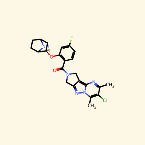 Cc1nc2c3c(nn2c(C)c1Cl)CN(C(=O)c1ccc(F)cc1O[C@@H]1CC2CCC1N2)C3